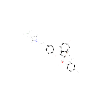 Cc1ccc(C(=O)c2sc3cc(O)ccc3c2Oc2ccc(CCN3CC(C(F)F)C3)cc2)c(C)c1